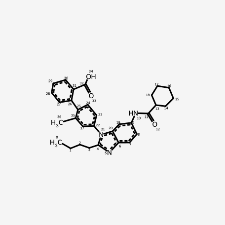 CCCCc1nc2ccc(NC(=O)C3CCCCC3)cc2n1-c1ccc(-c2ccccc2C(=O)O)c(C)c1